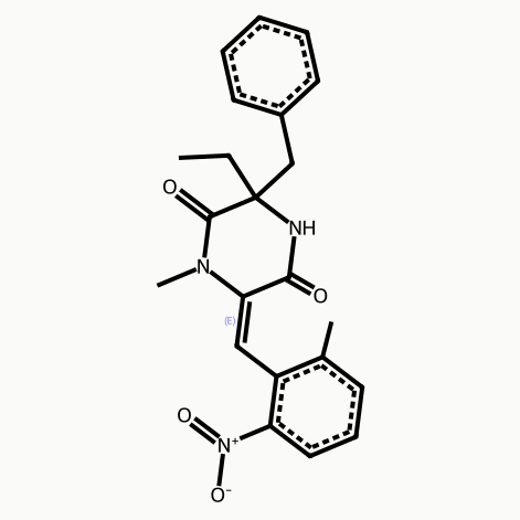 CCC1(Cc2ccccc2)NC(=O)/C(=C\c2c(C)cccc2[N+](=O)[O-])N(C)C1=O